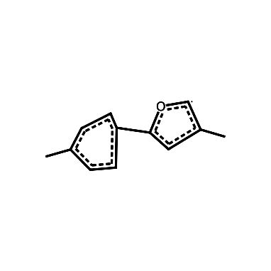 Cc1[c]oc(-c2ccc(C)cc2)c1